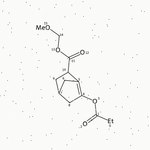 CCC(=O)OC1=C2CC(C1)CC2C(=O)OCOC